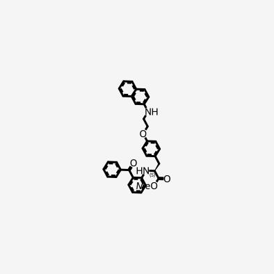 COC(=O)[C@H](Cc1ccc(OCCNc2ccc3ccccc3c2)cc1)Nc1ccccc1C(=O)c1ccccc1